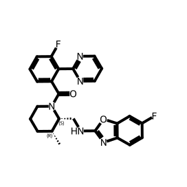 C[C@@H]1CCCN(C(=O)c2cccc(F)c2-c2ncccn2)[C@@H]1CNc1nc2ccc(F)cc2o1